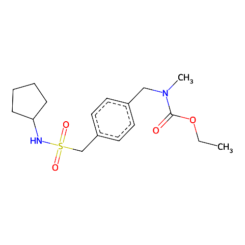 CCOC(=O)N(C)Cc1ccc(CS(=O)(=O)NC2CCCC2)cc1